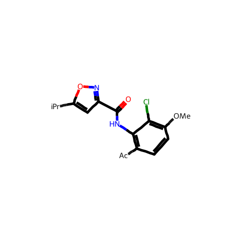 COc1ccc(C(C)=O)c(NC(=O)c2cc(C(C)C)on2)c1Cl